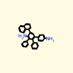 Nc1ccc(-c2cc(-c3cccc4ccccc34)c(N)c(-c3ccccc3)c2-c2ccccc2)cc1